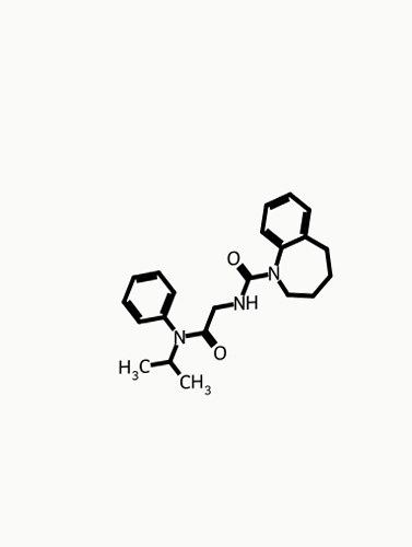 CC(C)N(C(=O)CNC(=O)N1CCCCc2ccccc21)c1ccccc1